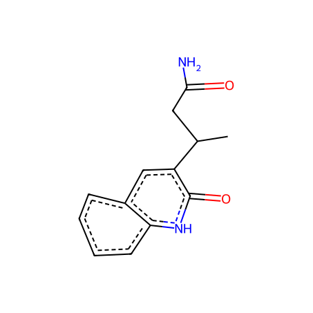 CC(CC(N)=O)c1cc2ccccc2[nH]c1=O